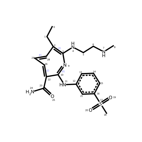 CCC1=C(NCCNC)/N=C(Nc2cccc(S(C)(=O)=O)c2)\C(C(N)=O)=C\C=C\1